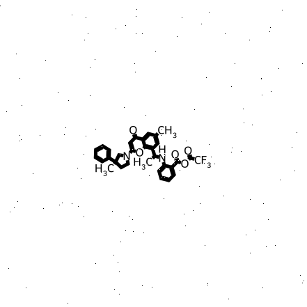 Cc1cc(C(C)Nc2ccccc2C(=O)OC(=O)C(F)(F)F)c2oc(N3CCC(C)(c4ccccc4)C3)cc(=O)c2c1